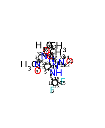 CN(C(=O)c1cc(NCc2cc(F)cc(F)c2)c2nc(N3CCOCC3)cnc2c1)[C@@H]1CCN(C(=O)OC(C)(C)C)C1